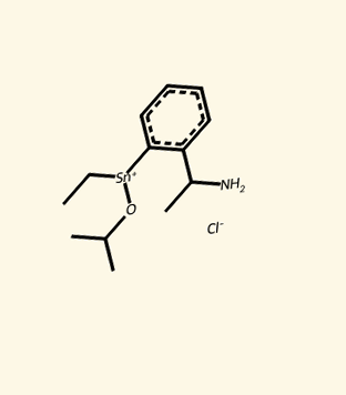 C[CH2][Sn+]([O]C(C)C)[c]1ccccc1C(C)N.[Cl-]